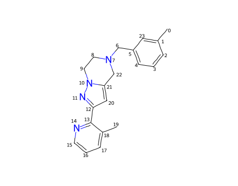 Cc1cccc(CN2CCn3nc(-c4ncccc4C)cc3C2)c1